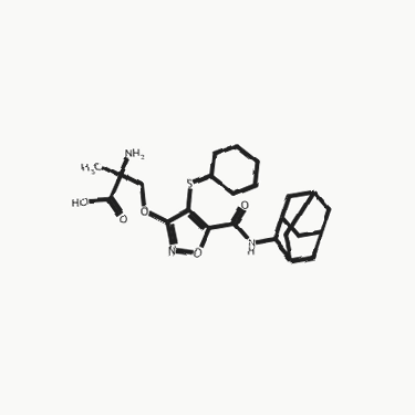 CC(N)(COc1noc(C(=O)NC2C3CC4CC(C3)CC2C4)c1SC1CCCCC1)C(=O)O